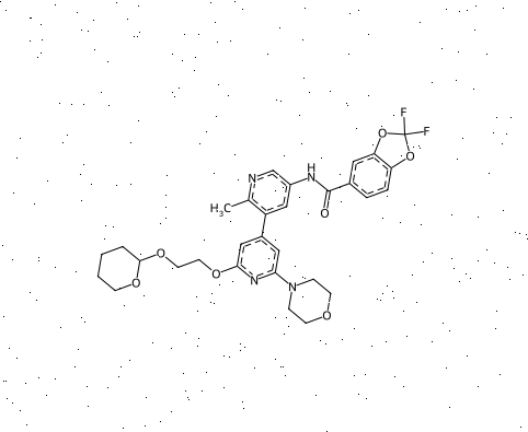 Cc1ncc(NC(=O)c2ccc3c(c2)OC(F)(F)O3)cc1-c1cc(OCCOC2CCCCO2)nc(N2CCOCC2)c1